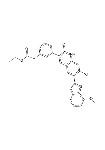 CCOC(=O)Cc1cccc(-c2cc3cc(-c4cc5cccc(OC)c5s4)c(Cl)cc3[nH]c2=O)c1